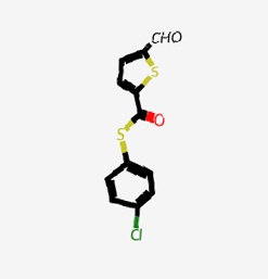 O=Cc1ccc(C(=O)Sc2ccc(Cl)cc2)s1